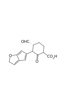 O=C[C@@H]1CCC(C(=O)O)C(=O)C1C1=CC2=CCOC2=C1